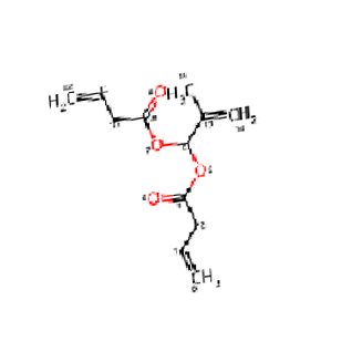 C=CCC(=O)OC(OC(=O)CC=C)C(=C)C